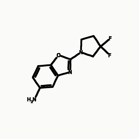 Nc1ccc2oc(N3CCC(F)(F)C3)nc2c1